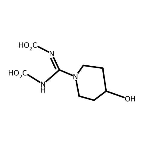 O=C(O)N=C(NC(=O)O)N1CCC(O)CC1